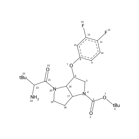 CC(C)(C)OC(=O)N1CC(Oc2ccc(F)c(F)c2)C2C1CCN2C(=O)C(N)C(C)(C)C